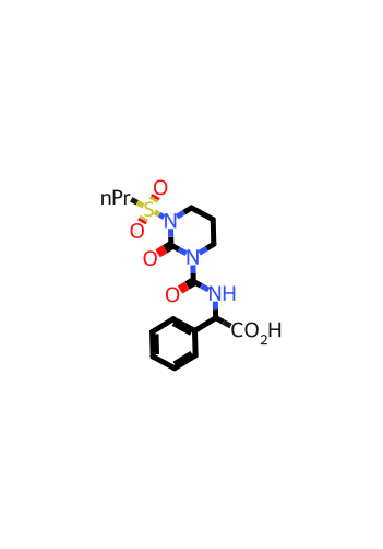 CCCS(=O)(=O)N1CCCN(C(=O)NC(C(=O)O)c2ccccc2)C1=O